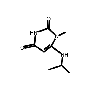 CC(C)Nc1cc(=O)[nH]c(=O)n1C